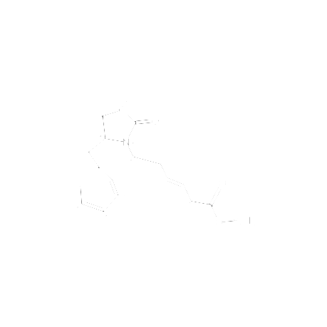 COC(=O)CC=CCCN1C(=O)OCC1Cc1ccccc1